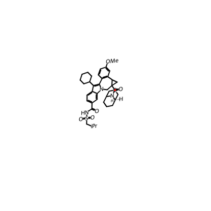 COc1ccc2c(c1)C1CC1(C(=O)N1C3CCC[C@@H]1COC3)Cn1c-2c(C2CCCCC2)c2ccc(C(=O)NS(=O)(=O)CC(C)C)cc21